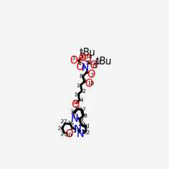 CC(C)(C)OC(=O)ON(C(=O)CC(=O)CCCCOc1ccc(-c2ccnn2C2CCCCO2)nc1)C(=O)OC(C)(C)C